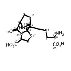 N[C@@H](CSC1CC23NC(CS2)C(=O)N2C(C(=O)O)CSC23C1)C(=O)O